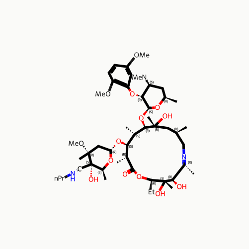 CCCNC[C@]1(O)[C@H](C)O[C@@H](O[C@H]2[C@H](C)[C@@H](O[C@@H]3O[C@H](C)C[C@H](NC)[C@H]3Oc3cc(OC)ccc3OC)[C@](C)(O)C[C@@H](C)CN[C@H](C)[C@@H](O)[C@](C)(O)[C@@H](CC)OC(=O)[C@@H]2C)C[C@@]1(C)OC